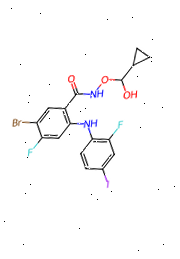 O=C(NOC(O)C1CC1)c1cc(Br)c(F)cc1Nc1ccc(I)cc1F